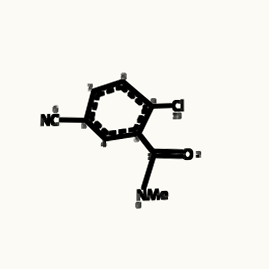 CNC(=O)c1cc(C#N)ccc1Cl